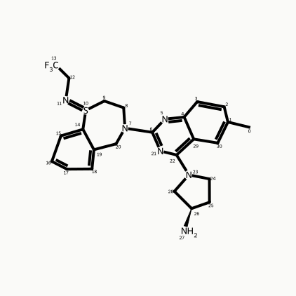 Cc1ccc2nc(N3CCS(=NCC(F)(F)F)c4ccccc4C3)nc(N3CC[C@@H](N)C3)c2c1